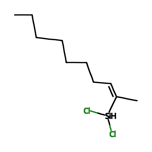 CCCCCCCC=C(C)[SiH](Cl)Cl